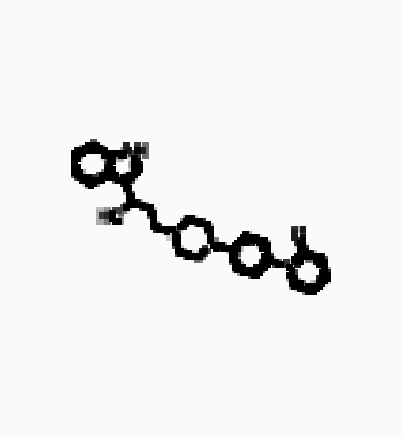 O=c1ccccn1-c1ccc(N2CCN(CCC(O)c3c[nH]c4ccccc34)CC2)cc1